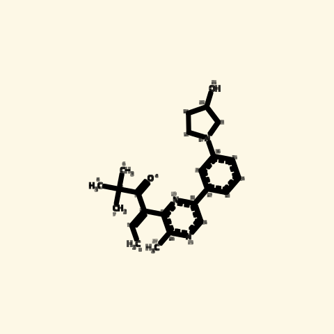 C/C=C(/C(=O)C(C)(C)C)c1nc(-c2cccc(N3CCC(O)C3)c2)cnc1C